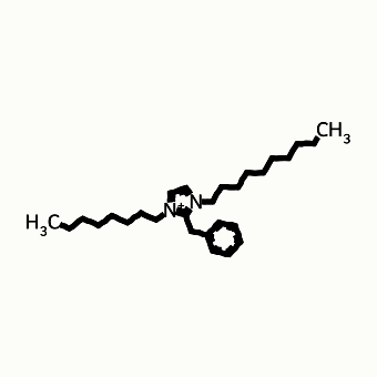 CCCCCCCCCCn1cc[n+](CCCCCCCC)c1Cc1ccccc1